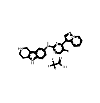 Fc1cnc(Nc2ccc3[nH]c4c(c3c2)CNCC4)nc1-c1cnn2ccccc12.O=C(O)C(F)(F)F